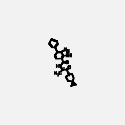 C[C@@H](NC(=O)c1ccc(-c2ccccc2)c2nn[nH]c12)C(=O)N1CCC2(CC1)CC2